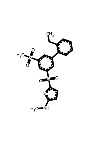 CCc1ccccc1-c1cc(S(C)(=O)=O)cc(S(=O)(=O)c2ccc(NC)s2)c1